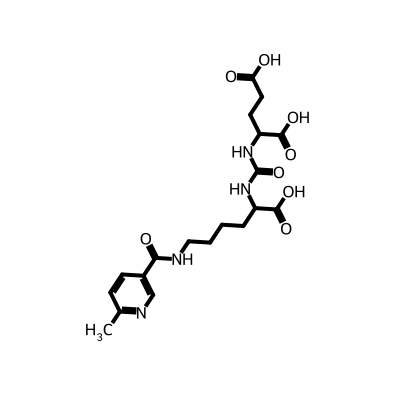 Cc1ccc(C(=O)NCCCCC(NC(=O)NC(CCC(=O)O)C(=O)O)C(=O)O)cn1